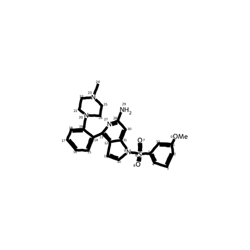 COc1cccc(S(=O)(=O)n2ccc3c(-c4ccccc4N4CCN(C)CC4)nc(N)cc32)c1